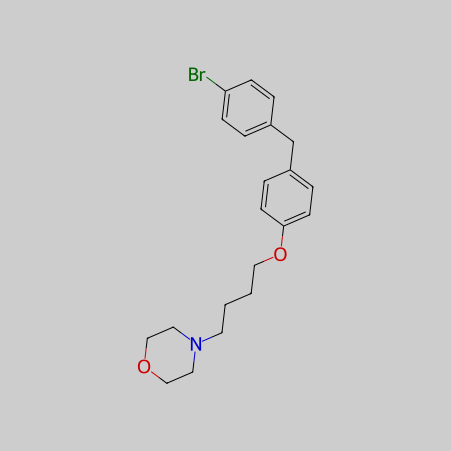 Brc1ccc(Cc2ccc(OCCCCN3CCOCC3)cc2)cc1